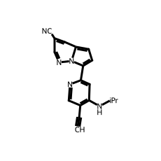 C#Cc1cnc(-c2ccc3cc(C#N)cnn23)cc1NC(C)C